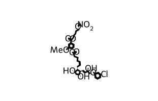 COc1cc(C(=O)OCCCCO[N+](=O)[O-])ccc1OC(=O)CCC/C=C\C[C@@H]1[C@@H](/C=C/[C@@H](O)COc2cccc(Cl)c2)[C@H](O)C[C@@H]1O